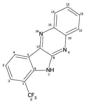 FC(F)(F)c1cccc2c1[nH]c1nc3ccccc3nc12